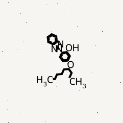 CCCCCC(CCC)Oc1ccc(-n2nc3ccccc3n2)c(O)c1